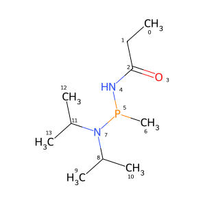 CCC(=O)NP(C)N(C(C)C)C(C)C